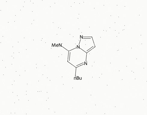 CCCCc1cc(NC)n2nccc2n1